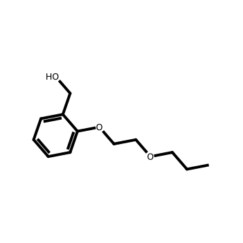 CCCOCCOc1ccccc1CO